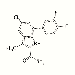 Cc1c(C(N)=O)[nH]c2c(-c3ccc(F)c(F)c3)cc(Cl)cc12